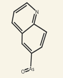 O=[As]c1ccc2ncccc2c1